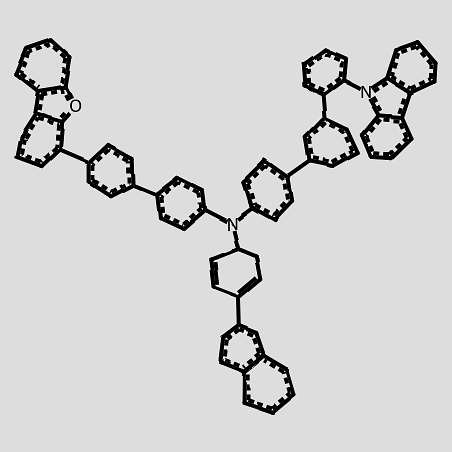 C1=CC(N(c2ccc(-c3ccc(-c4cccc5c4oc4ccccc45)cc3)cc2)c2ccc(-c3cccc(-c4ccccc4-n4c5ccccc5c5ccccc54)c3)cc2)CC=C1c1ccc2ccccc2c1